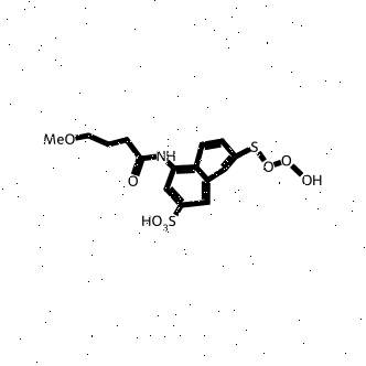 COCCCC(=O)Nc1cc(S(=O)(=O)O)cc2cc(SOOO)ccc12